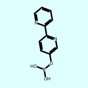 OB(O)Oc1ccc(-c2ccccn2)nc1